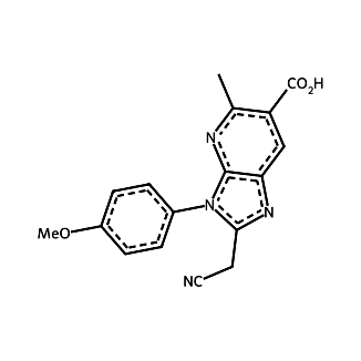 COc1ccc(-n2c(CC#N)nc3cc(C(=O)O)c(C)nc32)cc1